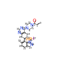 C=CC(=O)N1CCN(c2ncnc3c2CCC(c2c(C)ccc4cnn(PI)c24)C3)CC1